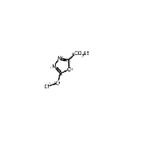 CCOC(=O)c1nnc(OCC)o1